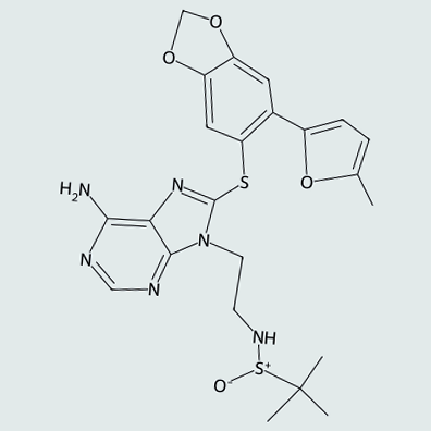 Cc1ccc(-c2cc3c(cc2Sc2nc4c(N)ncnc4n2CCN[S+]([O-])C(C)(C)C)OCO3)o1